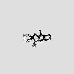 Cc1c(CC(O)(CC(C)C)C(F)(F)F)[nH]c2cnccc12